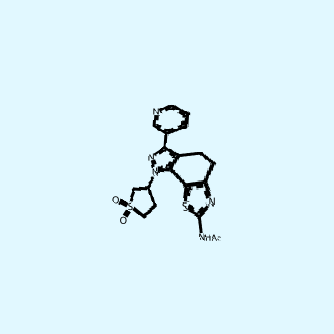 CC(=O)Nc1nc2c(s1)-c1c(c(-c3cccnc3)nn1C1CCS(=O)(=O)C1)CC2